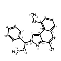 COc1cccc2nc(Cl)c3nn(C(OC)c4ccccc4)cc3c12